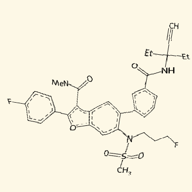 C#CC(CC)(CC)NC(=O)c1cccc(-c2cc3c(C(=O)NC)c(-c4ccc(F)cc4)oc3cc2N(CCCF)S(C)(=O)=O)c1